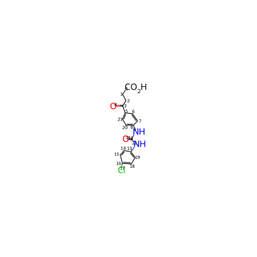 O=C(O)CCC(=O)c1ccc(NC(=O)Nc2ccc(Cl)cc2)cc1